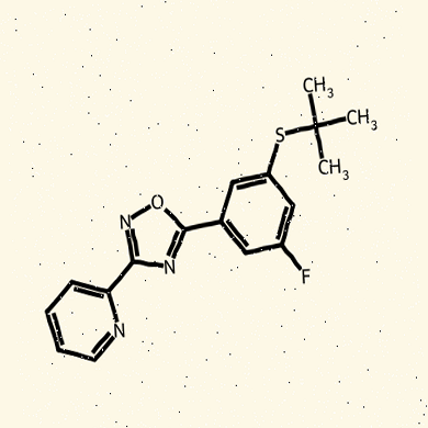 CC(C)(C)Sc1cc(F)cc(-c2nc(-c3ccccn3)no2)c1